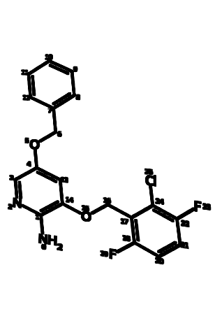 Nc1ncc(OCc2ccccc2)cc1OCc1c(F)ccc(F)c1Cl